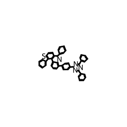 c1ccc(-c2nc(-c3ccccc3)nc(-c3ccc(-c4cccc5c4nc(-c4ccccc4)c4ccc6sc7ccccc7c6c45)cc3)n2)cc1